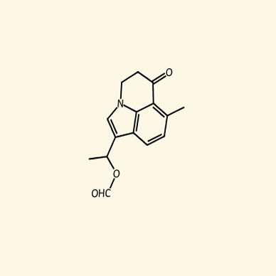 Cc1ccc2c(C(C)OC=O)cn3c2c1C(=O)CC3